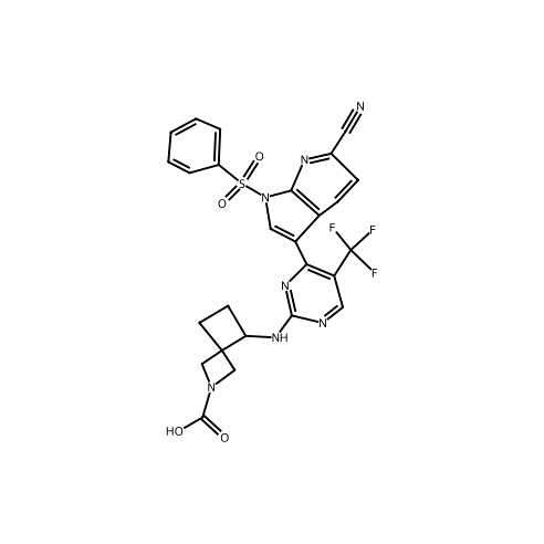 N#Cc1ccc2c(-c3nc(NC4CCC45CN(C(=O)O)C5)ncc3C(F)(F)F)cn(S(=O)(=O)c3ccccc3)c2n1